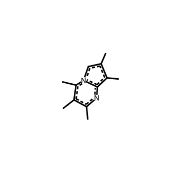 Cc1cn2c(C)c(C)c(C)nc2c1C